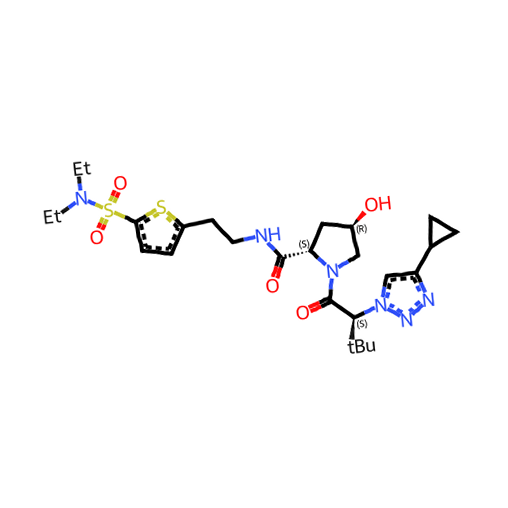 CCN(CC)S(=O)(=O)c1ccc(CCNC(=O)[C@@H]2C[C@@H](O)CN2C(=O)[C@@H](n2cc(C3CC3)nn2)C(C)(C)C)s1